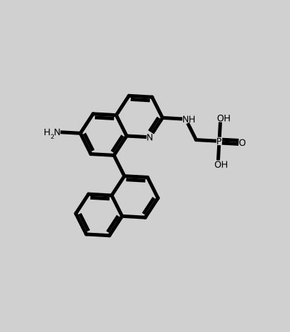 Nc1cc(-c2cccc3ccccc23)c2nc(NCP(=O)(O)O)ccc2c1